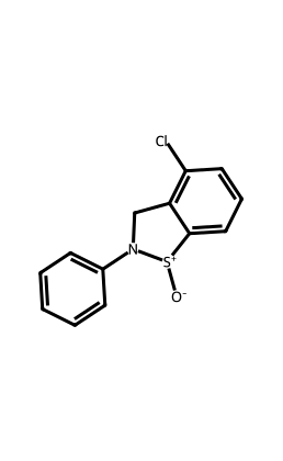 [O-][S+]1c2cccc(Cl)c2CN1c1ccccc1